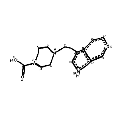 O=C(O)N1CCN(Cc2c[nH]c3cnccc23)CC1